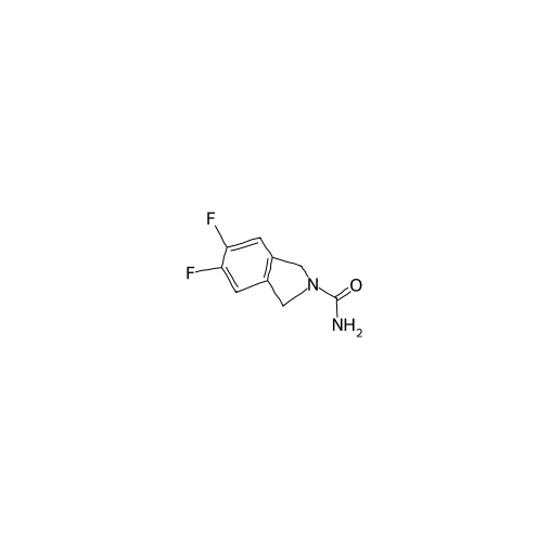 NC(=O)N1Cc2cc(F)c(F)cc2C1